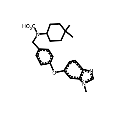 Cn1cnc2ccc(Oc3ccc(CN(C(=O)O)C4CCC(C)(C)CC4)cc3)cc21